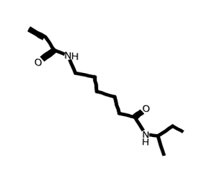 C=CC(=O)NCCCCCC(=O)NC(C)CC